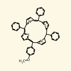 COc1ccc(/C2=c3\cc/c(s3)=C(\c3ccccc3)C3=N/C(=C(/c4ccccc4)c4ccc(s4)C(c4ccccc4)C4C=CC2=N4)C=C3)cc1